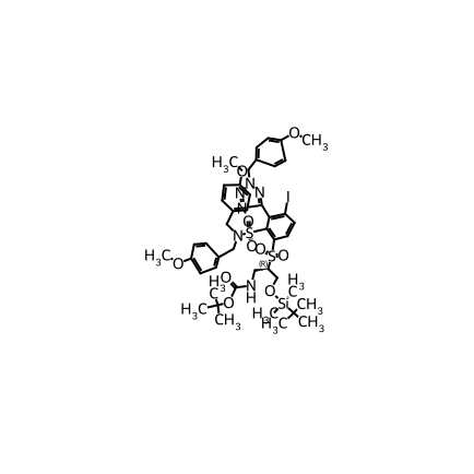 COc1ccc(CN(Cc2ccc(OC)cc2)S(=O)(=O)c2c(S(=O)(=O)[C@H](CNC(=O)OC(C)(C)C)CO[Si](C)(C)C(C)(C)C)ccc(I)c2-c2nnn(Cc3ccc(OC)cc3)n2)cc1